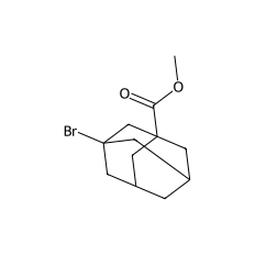 COC(=O)C12CC3CC(CC(Br)(C3)C1)C2